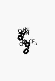 Cn1cnnc1[C@@H](F)C1(c2cccc(N3Cc4c(cc(CN5C6CCC5CC6)cc4C(F)(F)F)C3=O)c2)COC1